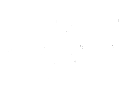 CO[C@@H]1COCC[C@@H]1N(CCCO)[C@@H]1C[C@H]2OCC[C@@]2(C(=O)N2CCc3ncc(C)cc3C2)C1